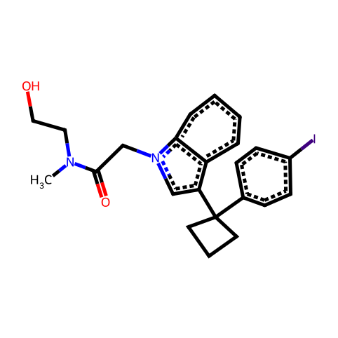 CN(CCO)C(=O)Cn1cc(C2(c3ccc(I)cc3)CCC2)c2ccccc21